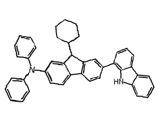 c1ccc(N(c2ccccc2)c2ccc3c(c2)C(C2CCCCC2)c2cc(-c4cccc5c4[nH]c4ccccc45)ccc2-3)cc1